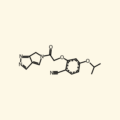 CC(C)Oc1ccc(C#N)c(OCC(=O)N2C=C3C=NN=C3C2)c1